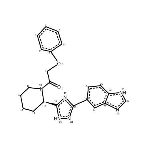 O=C(COc1ccccc1)N1CCCC[C@@H]1c1nc(-c2ccc3[nH]cnc3c2)n[nH]1